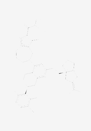 CN(C)C(=O)c1nn2c(c1Cl)CN(c1nc(OC[C@@]34CCCN3CC(=C(F)F)C4)nc3c1CO[C@H](c1c(C(F)(F)F)ccc(N)c1F)C3)CCC2